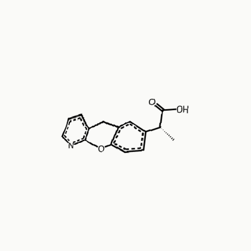 C[C@@H](C(=O)O)c1ccc2c(c1)Cc1cccnc1O2